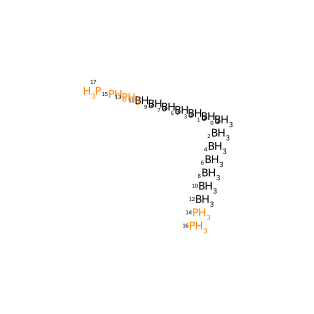 B.B.B.B.B.B.B.B.B.B.B.B.B.P.P.P.P.P